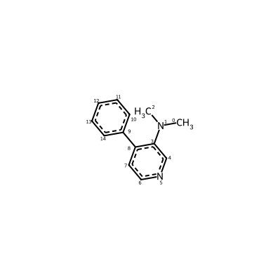 CN(C)c1cnccc1-c1ccccc1